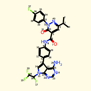 CC(C)c1cc(C(=O)Nc2ccc(-c3cn(C(F)C(F)F)c4ncnc(N)c34)cc2)c(=O)n(-c2ccc(F)cc2)n1